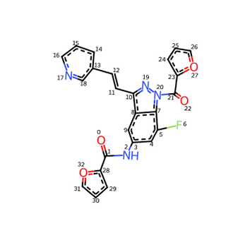 O=C(Nc1cc(F)c2c(c1)c(/C=C/c1cccnc1)nn2C(=O)c1ccco1)c1ccco1